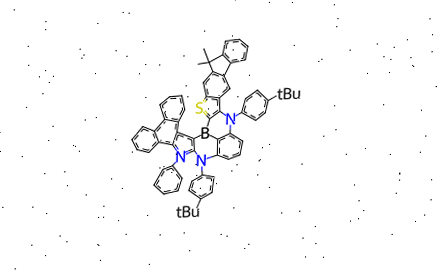 CC(C)(C)c1ccc(N2c3cccc4c3B(c3sc5cc6c(cc5c32)-c2ccccc2C6(C)C)c2c(n(-c3ccccc3)c3c5ccccc5c5ccccc5c23)N4c2ccc(C(C)(C)C)cc2)cc1